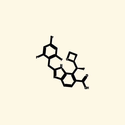 O=C(O)c1ccc2nc(Cc3c(F)cc(Br)cc3F)[nH]c2c1[C@H](F)[C@@H]1CCO1